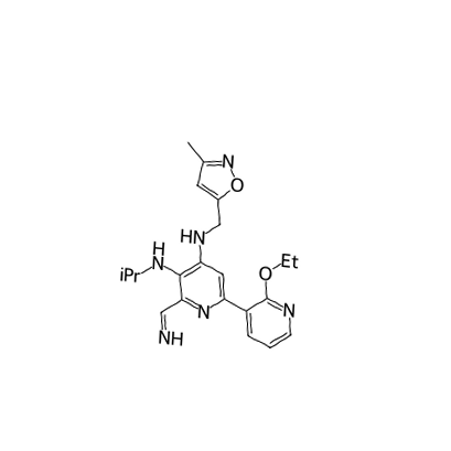 CCOc1ncccc1-c1cc(NCc2cc(C)no2)c(NC(C)C)c(C=N)n1